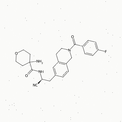 N#C[C@H](Cc1ccc2c(c1)CCN(C(=O)c1ccc(F)cc1)C2)NC(=O)C1(N)CCOCC1